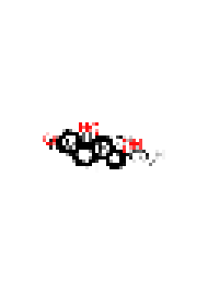 C[C@]12CCC(=O)C=C1CC[C@@H]1[C@@H]2[C@@H](O)C[C@@]2(C)[C@H]1CC[C@]2(O)C(=O)O